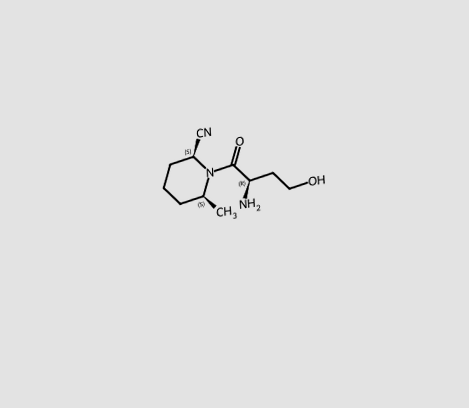 C[C@H]1CCC[C@@H](C#N)N1C(=O)[C@H](N)CCO